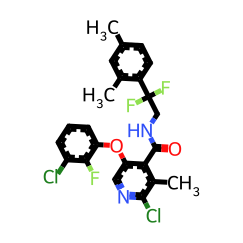 Cc1ccc(C(F)(F)CNC(=O)c2c(Oc3cccc(Cl)c3F)cnc(Cl)c2C)c(C)c1